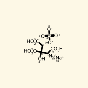 O=C(O)CC(O)(CC(=O)O)C(=O)O.O=S(=O)([O-])[O-].[Na+].[Na+]